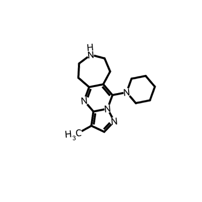 Cc1cnn2c(N3CCCCC3)c3c(nc12)CCNCC3